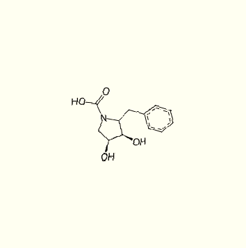 O=C(O)N1C[C@H](O)[C@H](O)C1Cc1ccccc1